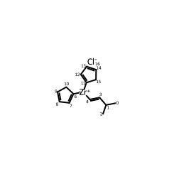 CC(C)/C=[CH]/[Zr+]([C]1=CC=CC1)[C]1=CC=CC1.[Cl-]